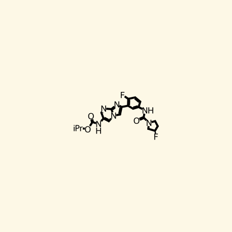 CC(C)OC(=O)Nc1cnc2nc(-c3cc(NC(=O)N4CC[C@@H](F)C4)ccc3F)cn2c1